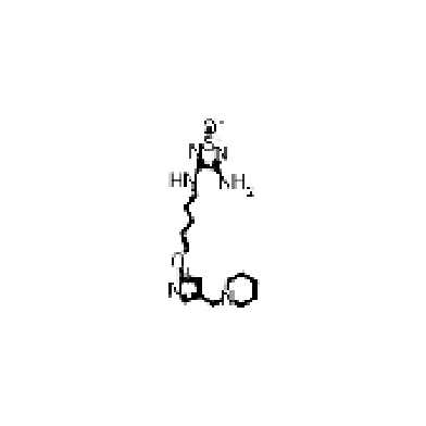 Nc1n[s+]([O-])nc1NCCCCCOn1cc(CN2CCCCC2)cn1